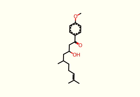 COc1ccc(C(=O)CC(O)CC(C)CCC=C(C)C)cc1